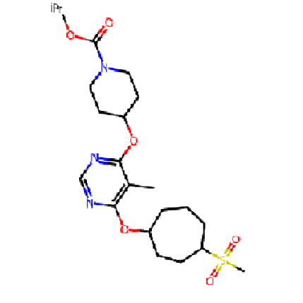 Cc1c(OC2CCCC(S(C)(=O)=O)CC2)ncnc1OC1CCN(C(=O)OC(C)C)CC1